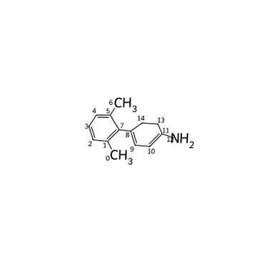 Cc1cccc(C)c1C1=CC=C(N)CC1